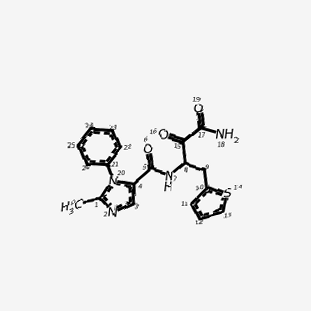 Cc1ncc(C(=O)NC(Cc2cccs2)C(=O)C(N)=O)n1-c1ccccc1